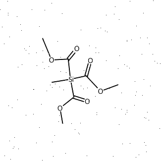 COC(=O)[Si](C)(C(=O)OC)C(=O)OC